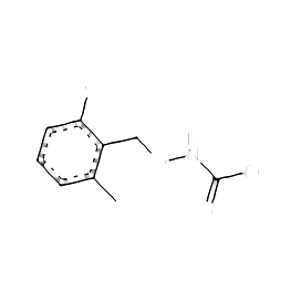 CCC(=O)NOCc1c(C)cccc1C(=O)O